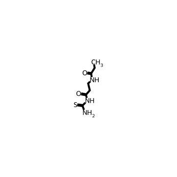 CCC(=O)NCCC(=O)NC(N)=S